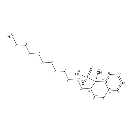 CCCCCCCCCCCCC1C=Cc2ccccc2C1(O)S(=O)(=O)O